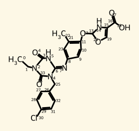 CCn1c(=O)[nH]/c(=N\c2ccc(OC3NC(C(=O)O)=CO3)c(C)c2)n(Cc2ccc(Cl)cc2)c1=O